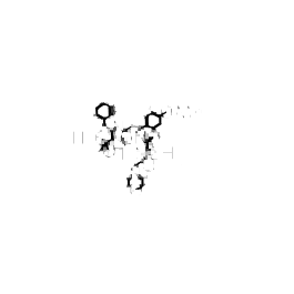 COc1ccc([C@@H](CC(=O)N[C@@H](Cc2ccccc2)C(=O)[C@@]2(C)CO2)NC(=O)[C@H](C)NC(=O)CN2CCOCC2)cc1